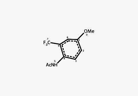 COc1ccc(NC(C)=O)c(C(F)(F)F)c1